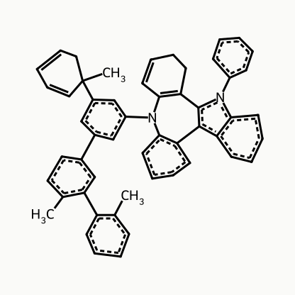 Cc1ccccc1-c1cc(-c2cc(N3C4=C(CCC=C4)c4c(c5ccccc5n4-c4ccccc4)-c4ccccc43)cc(C3(C)C=CC=CC3)c2)ccc1C